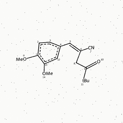 COc1ccc(C=C(C#N)CC(=O)C(C)(C)C)cc1OC